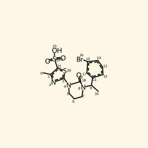 Cc1nc(N2CCCN(C(C)c3cccc(Br)c3)C2=O)sc1S(=O)(=O)O